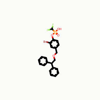 O=P(O)(Oc1ccc(COCC(c2ccccc2)c2ccccc2)cc1Br)C(F)F